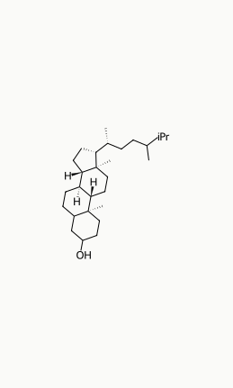 CC(C)C(C)CC[C@@H](C)[C@H]1CC[C@H]2[C@@H]3CCC4CC(O)CC[C@]4(C)[C@H]3CC[C@]12C